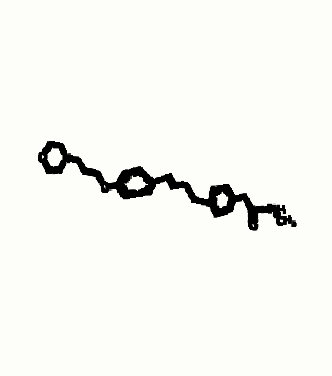 CNC(=O)Cc1ccc(CCCCc2ccc(OCCCN3CCOCC3)cc2)cc1